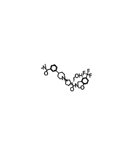 CN(C)C(=O)c1cccc(C2CCN([C@@H]3CC[C@](CCO)(C(=O)N4COc5ccc(C(F)(F)F)cc5C4)C3)CC2)c1